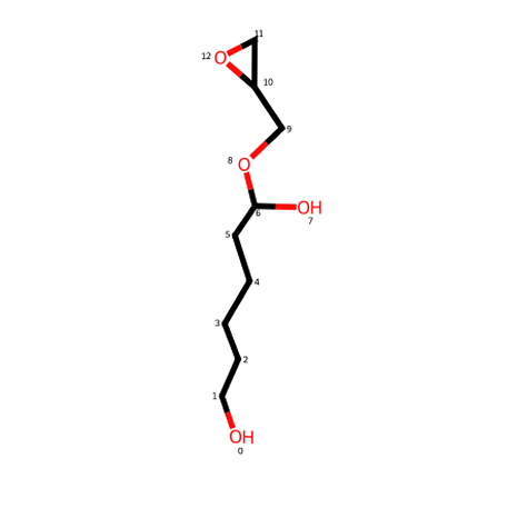 OCCCCCC(O)OCC1CO1